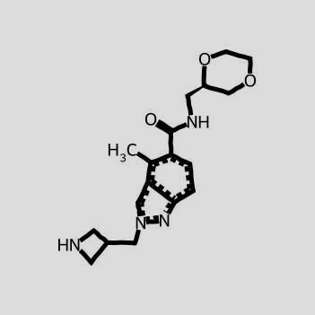 Cc1c(C(=O)NC[C@@H]2COCCO2)ccc2nn(CC3CNC3)cc12